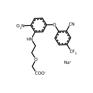 N#Cc1cc(C(F)(F)F)ccc1Oc1ccc([N+](=O)[O-])c(NCCOCC(=O)[O-])c1.[Na+]